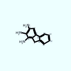 Nc1cc2c(c(N)c1N)Cc1ccccc1-2